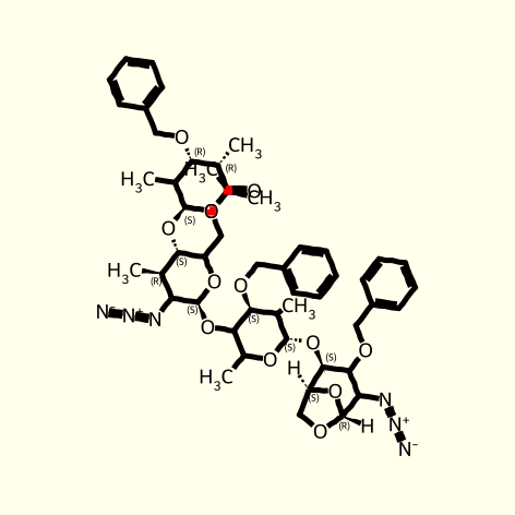 CC(=O)OCC1O[C@@H](OC2C(C)O[C@@H](O[C@H]3C(OCc4ccccc4)C(N=[N+]=[N-])[C@@H]4OC[C@@H]3O4)C(C)[C@@H]2OCc2ccccc2)C(N=[N+]=[N-])[C@@H](C)[C@@H]1O[C@@H]1OC(C)[C@@H](C)[C@@H](OCc2ccccc2)C1C